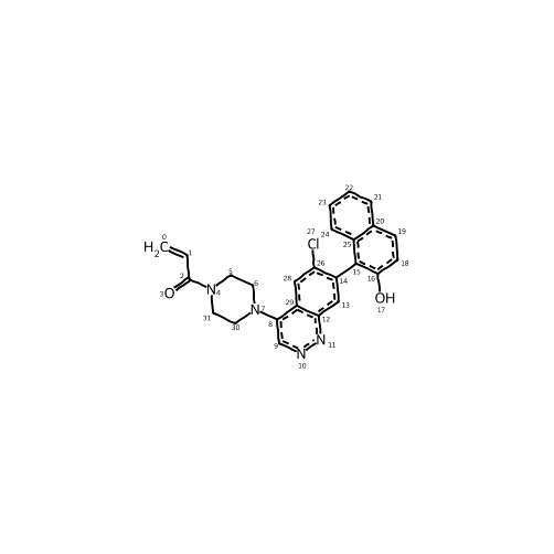 C=CC(=O)N1CCN(c2cnnc3cc(-c4c(O)ccc5ccccc45)c(Cl)cc23)CC1